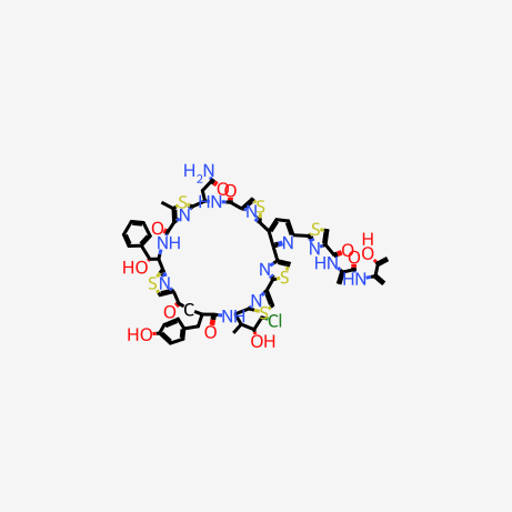 C=C(O)C(=C)NC(=O)C(=C)NC(=O)c1csc(-c2ccc3c(n2)-c2csc(n2)-c2csc(n2)C(C(C)C(O)CCl)NC(=O)C(Cc2ccc(O)cc2)CC(=O)c2csc(n2)C(C(O)c2ccccc2)NC(=O)c2nc(sc2C)C(CC(N)=O)NC(=O)c2csc-3n2)n1